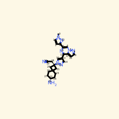 Cn1ccc(-c2cn3nccc3c(-c3cnn([C@]4(CC#N)CC5(CC[C@H](N)CC5)C4)c3)n2)n1